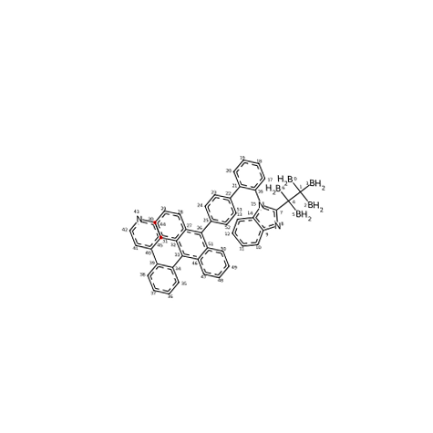 BC(B)(B)C(B)(B)c1nc2ccccc2n1-c1ccccc1-c1ccc(-c2c3ccccc3c(-c3ccccc3-c3ccncc3)c3ccccc23)cc1